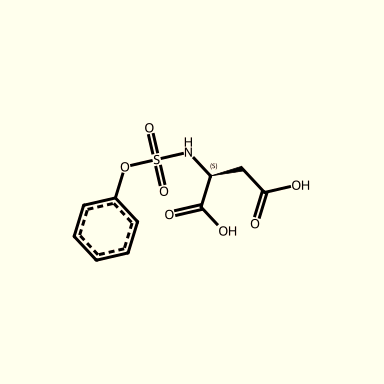 O=C(O)C[C@H](NS(=O)(=O)Oc1ccccc1)C(=O)O